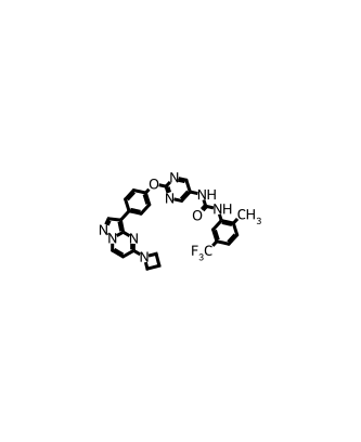 Cc1ccc(C(F)(F)F)cc1NC(=O)Nc1cnc(Oc2ccc(-c3cnn4ccc(N5CCC5)nc34)cc2)nc1